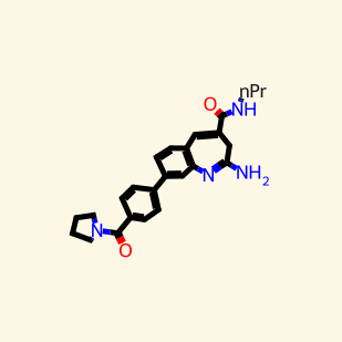 CCCNC(=O)C1=Cc2ccc(-c3ccc(C(=O)N4CCCC4)cc3)cc2N=C(N)C1